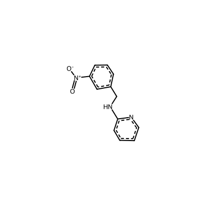 O=[N+]([O-])c1cccc(CNc2ccccn2)c1